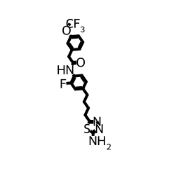 Nc1nnc(CCCCc2ccc(NC(=O)Cc3cccc(OC(F)(F)F)c3)c(F)c2)s1